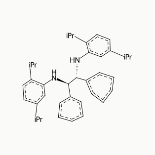 CC(C)c1ccc(C(C)C)c(N[C@H](c2ccccc2)[C@H](Nc2cc(C(C)C)ccc2C(C)C)c2ccccc2)c1